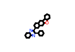 c1ccc(-c2nc3ccccc3nc2-c2ccc3cc4c(cc3c2)oc2ccccc24)cc1